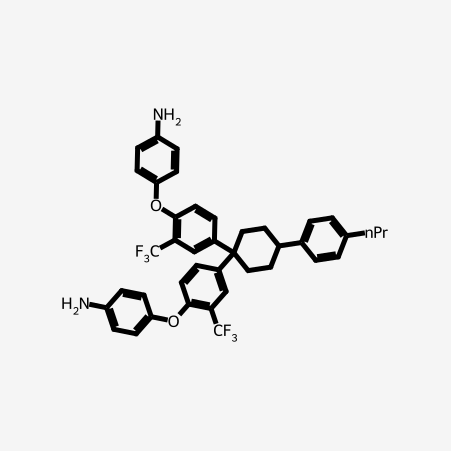 CCCc1ccc(C2CCC(c3ccc(Oc4ccc(N)cc4)c(C(F)(F)F)c3)(c3ccc(Oc4ccc(N)cc4)c(C(F)(F)F)c3)CC2)cc1